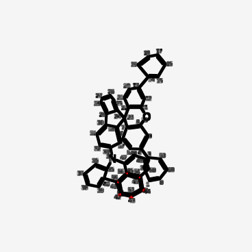 c1ccc(-c2ccc3c(c2)Oc2cc(-c4ccccc4)ccc2C32c3ccccc3-c3ccc(N(c4ccccc4-c4ccccc4)c4cccc5ccccc45)cc32)cc1